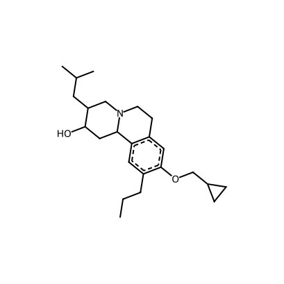 CCCc1cc2c(cc1OCC1CC1)CCN1CC(CC(C)C)C(O)CC21